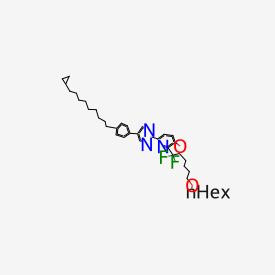 CCCCCCOCCCCC1Oc2ccc(-c3ncc(-c4ccc(CCCCCCCCCC5CC5)cc4)cn3)nc2C1(F)F